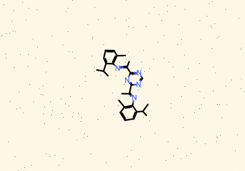 CC(=Nc1c(C)cccc1C(C)C)c1ncnc(C(C)=Nc2c(C)cccc2C(C)C)n1